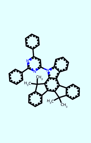 CC1(C)c2ccccc2-c2c1c1c(c3c2c2ccccc2n3-c2cc(-c3ccccc3)nc(-c3ccccc3)n2)C(C)(C)c2ccccc2-1